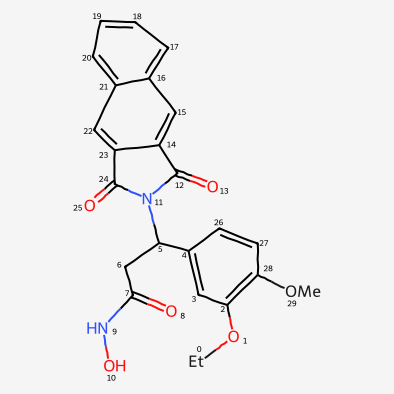 CCOc1cc(C(CC(=O)NO)N2C(=O)c3cc4ccccc4cc3C2=O)ccc1OC